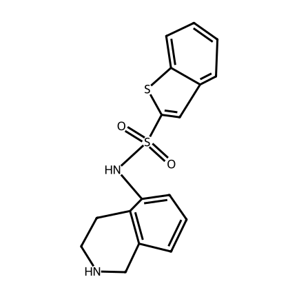 O=S(=O)(Nc1cccc2c1CCNC2)c1cc2ccccc2s1